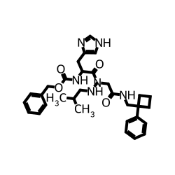 CC(C)CNN(CC(=O)NCC1(c2ccccc2)CCC1)C(=O)C(Cc1c[nH]cn1)NC(=O)OCc1ccccc1